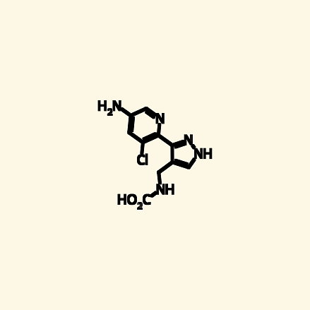 Nc1cnc(-c2n[nH]cc2CNC(=O)O)c(Cl)c1